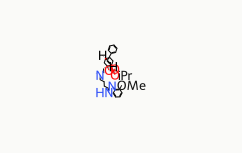 COc1cccc2[nH]c(CCCN(C)CC[C@]3(OC(=O)OC(C)C)C[C@H]4CC[C@@H]3C=C4c3ccccc3)nc12